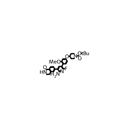 COc1cc(OC2CCN(C(=O)OC(C)(C)C)CC2)ccc1-c1cc(-c2ccc3c(c2)CCNC3=O)c(N)nc1F